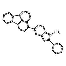 Cn1c(-c2ccccc2)nc2cc(-c3ccc4c5c(cccc35)-c3ccccc3-4)ccc21